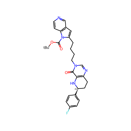 CC(C)(C)OC(=O)n1c(CCCCn2cnc3c(c2=O)N[C@H](c2ccc(F)cc2)CC3)cc2cnccc21